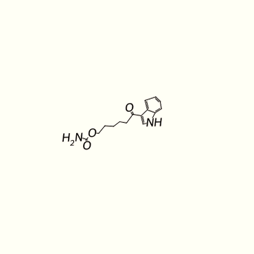 NC(=O)OCCCCCC(=O)c1c[nH]c2ccccc12